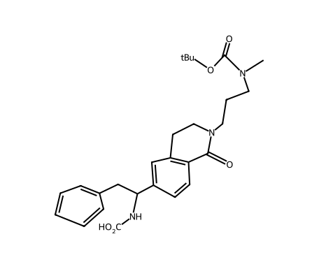 CN(CCCN1CCc2cc(C(Cc3ccccc3)NC(=O)O)ccc2C1=O)C(=O)OC(C)(C)C